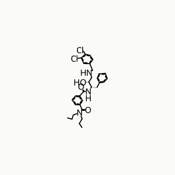 CCCN(CCC)C(=O)c1cccc(C(=O)N[C@@H](Cc2ccccc2)[C@H](O)CNCc2ccc(Cl)c(Cl)c2)c1